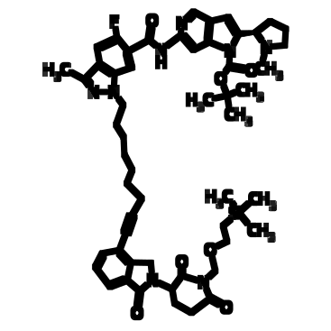 Cc1nn(CCCCCCCC#Cc2cccc3c2CN(C2CCC(=O)N(COCC[Si](C)(C)C)C2=O)C3=O)c2cc(C(=O)Nc3cc4c(cn3)cc([C@H]3CCCN3C)n4C(=O)OC(C)(C)C)c(F)cc12